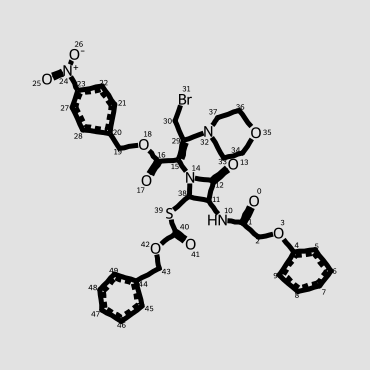 O=C(COc1ccccc1)NC1C(=O)N(C(C(=O)OCc2ccc([N+](=O)[O-])cc2)=C(CBr)N2CCOCC2)C1SC(=O)OCc1ccccc1